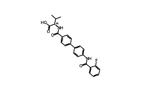 CC(C)[C@@H](NC(=O)c1ccc(-c2ccc(NC(=O)c3ccccc3F)cc2)cc1)C(=O)O